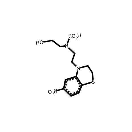 O=C(O)N(CCO)CCN1CCSc2ccc([N+](=O)[O-])cc21